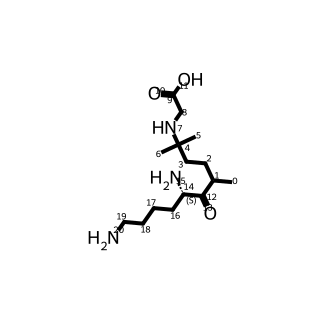 CC(CCC(C)(C)NCC(=O)O)C(=O)[C@@H](N)CCCCN